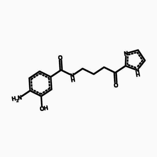 Nc1ccc(C(=O)NCCCC(=O)c2ncc[nH]2)cc1O